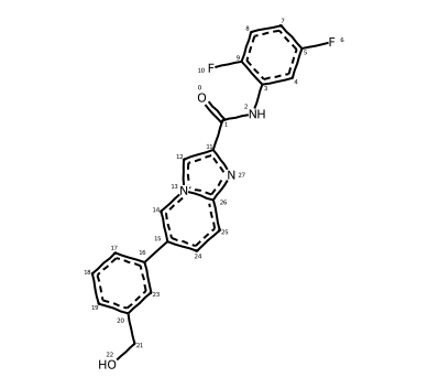 O=C(Nc1cc(F)ccc1F)c1cn2cc(-c3cccc(CO)c3)ccc2n1